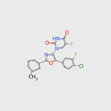 Cc1cccc(-c2nc(-n3cc(F)c(=O)[nH]c3=O)c(-c3ccc(Cl)c(F)c3)o2)c1